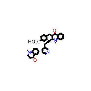 CN1CCC(=O)c2ccccc21.CN1c2ccccc2C(=O)C(Cc2ccc(C(=O)O)cc2)C1C#CCc1cccnc1